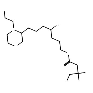 CCCC(CCCOC(=O)CC(O)(CC(=O)O)C(=O)O)CCCC1COCCN1CCO